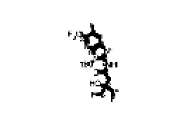 Cc1cc2nc(NC(=O)CC(O)(CF)CF)n(C(C)(C)C)c2nc1C(F)(F)F